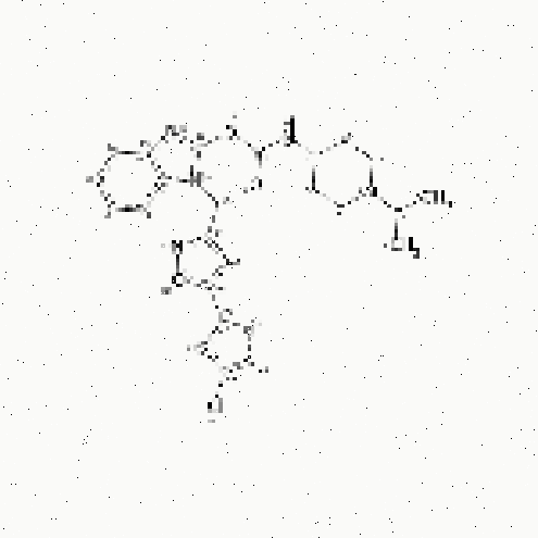 CC(C)N1CCC(NC(=O)Oc2nc3ccccc3n2Cc2cc(-c3ccc(Cl)s3)on2)CC1